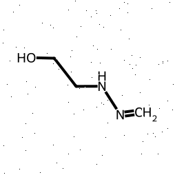 C=NNCCO